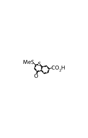 CSc1cc(=O)c2ccc(C(=O)O)cc2s1